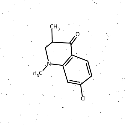 CC1CN(C)c2cc(Cl)ccc2C1=O